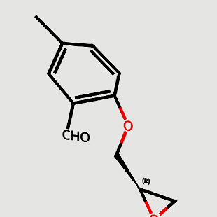 Cc1ccc(OC[C@H]2CO2)c(C=O)c1